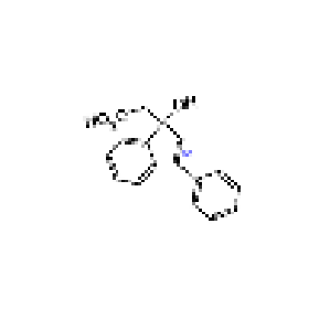 O=C(O)CC(O)(/C=C/c1ccccc1)c1ccccc1